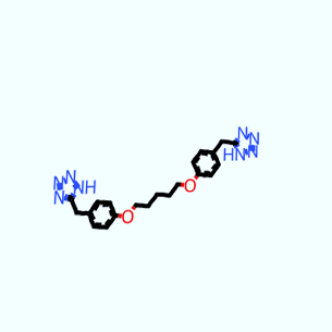 c1cc(OCCCCCOc2ccc(Cc3nnn[nH]3)cc2)ccc1Cc1nnn[nH]1